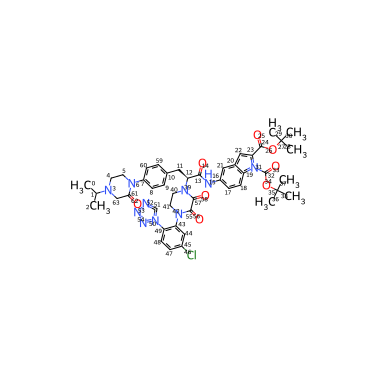 CC(C)N1CCN(c2ccc(C[C@@H](C(=O)Nc3ccc4c(c3)cc(C(=O)OC(C)(C)C)n4C(=O)OC(C)(C)C)N3CCN(c4cc(Cl)ccc4-n4cnnn4)C(=O)C3=O)cc2)C(=O)C1